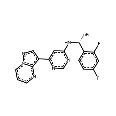 CCC[C@@H](Nc1cc(-c2cnn3cccnc23)ncn1)c1ccc(F)cc1F